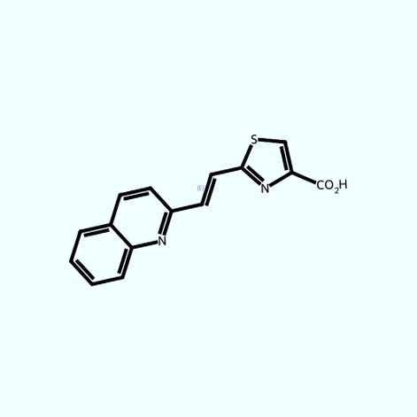 O=C(O)c1csc(/C=C/c2ccc3ccccc3n2)n1